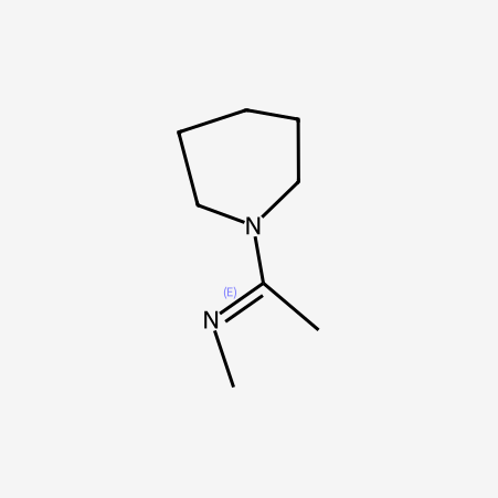 C/N=C(\C)N1CCCCC1